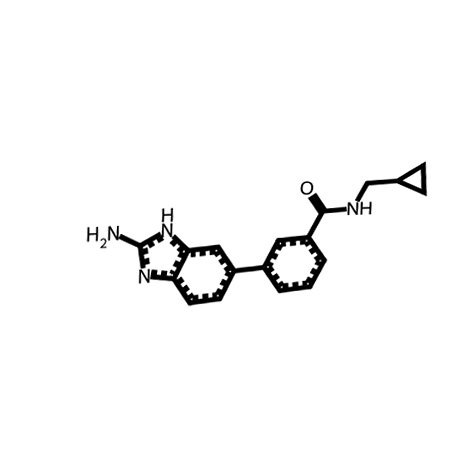 Nc1nc2ccc(-c3cccc(C(=O)NCC4CC4)c3)cc2[nH]1